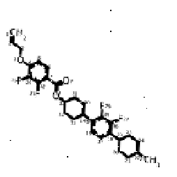 C=CCOc1ccc(C(=O)OC2CCC(c3ccc(C4CCC(C)CC4)c(F)c3F)CC2)c(F)c1F